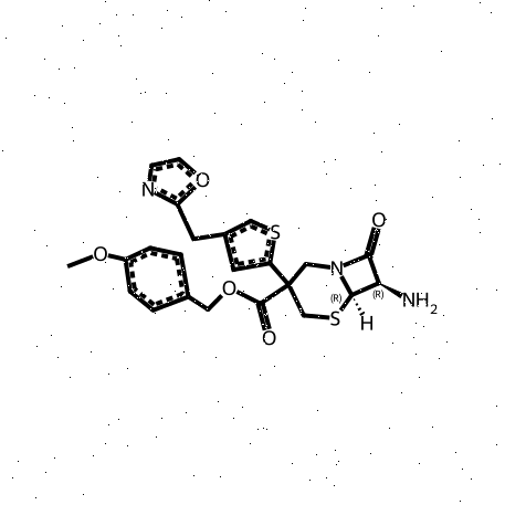 COc1ccc(COC(=O)C2(c3cc(Cc4ncco4)cs3)CS[C@@H]3[C@H](N)C(=O)N3C2)cc1